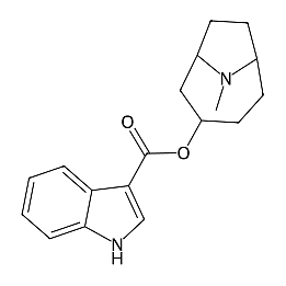 CN1C2CCC(OC(=O)c3c[nH]c4ccccc34)CC1CC2